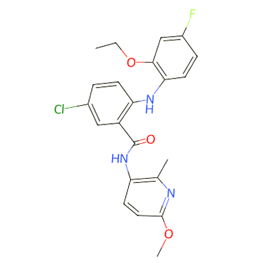 CCOc1cc(F)ccc1Nc1ccc(Cl)cc1C(=O)Nc1ccc(OC)nc1C